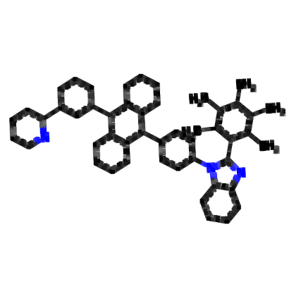 Bc1c(B)c(B)c(-c2nc3ccccc3n2-c2ccc(-c3c4ccccc4c(-c4cccc(-c5ccccn5)c4)c4ccccc34)cc2)c(B)c1B